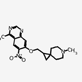 Cc1ncnc2cc(OCC3CC34CCN(C)CC4)c([N+](=O)[O-])cc12